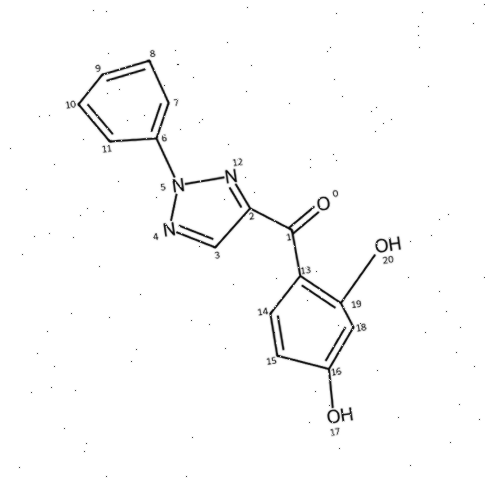 O=C(c1cnn(-c2ccccc2)n1)c1ccc(O)cc1O